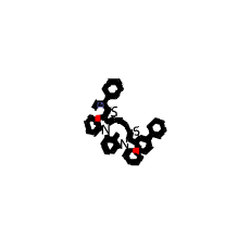 C=Cc1c(/C(=C\C)C2CCCCC2)sc2c1N(c1ccccc1)c1cccc(c1C)N(c1ccccc1C)c1c(sc3c(C4CCCCC4)cccc13)CC2